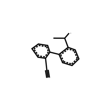 [C]#Cc1ccccc1-c1ccccc1C([CH2])C